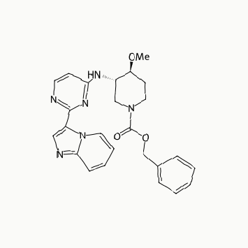 CO[C@H]1CCN(C(=O)OCc2ccccc2)C[C@@H]1Nc1ccnc(-c2cnc3ccccn23)n1